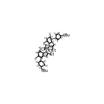 CCC1=Cc2c(-c3ccc(C(C)(C)C)cc3)c(C)cc(C)c2[CH]1[Zr]([Cl])([Cl])([CH2]C)[CH]1C(CC)=Cc2c(-c3ccc(C(C)(C)C)cc3)c(C)cc(C)c21